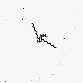 CCCCCCCCCc1nnc(CCCCCCCCC)n1N